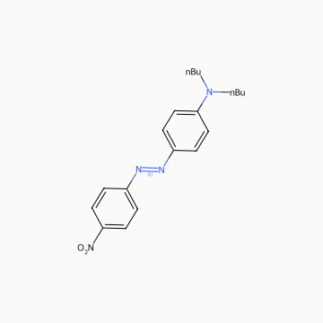 CCCCN(CCCC)c1ccc(/N=N/c2ccc([N+](=O)[O-])cc2)cc1